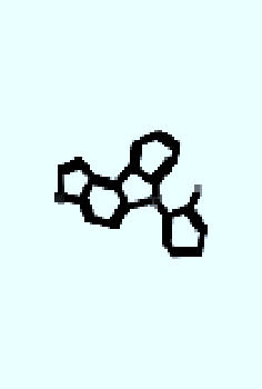 Ic1ccccc1-n1c2ccccc2c2c3ccoc3ccc21